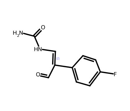 NC(=O)N/C=C(\C=O)c1ccc(F)cc1